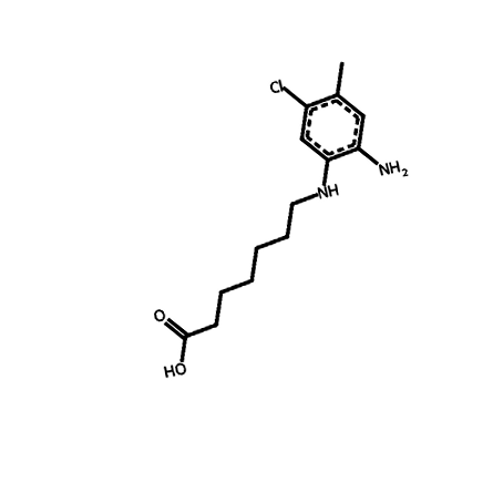 Cc1cc(N)c(NCCCCCCC(=O)O)cc1Cl